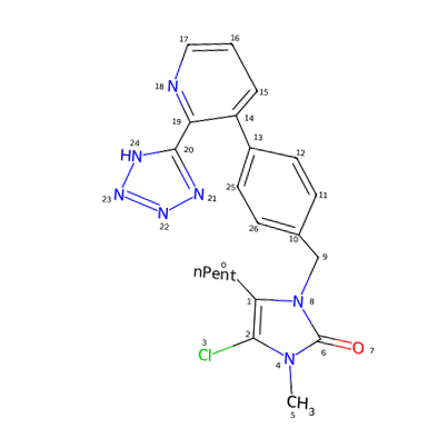 CCCCCc1c(Cl)n(C)c(=O)n1Cc1ccc(-c2cccnc2-c2nnn[nH]2)cc1